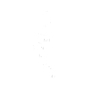 CC(C)CNC(=O)Cc1cn2c(NC(=O)Cc3ccc(C(F)(F)F)cc3)cccc2n1